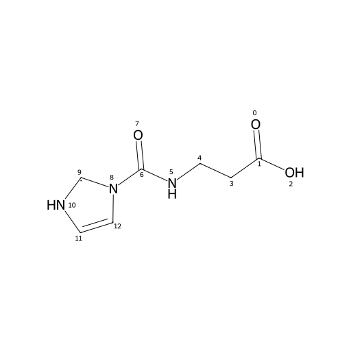 O=C(O)CCNC(=O)N1[CH]NC=C1